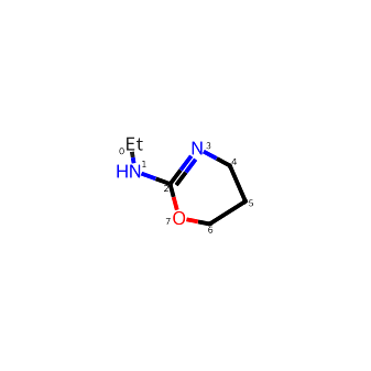 CCNC1=NCCCO1